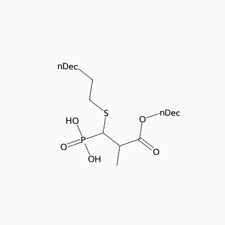 CCCCCCCCCCCCSC(C(C)C(=O)OCCCCCCCCCC)P(=O)(O)O